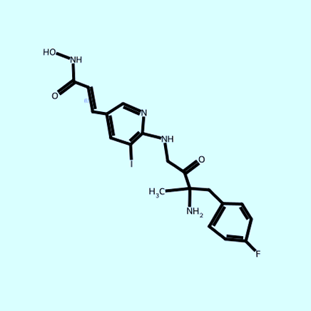 CC(N)(Cc1ccc(F)cc1)C(=O)CNc1ncc(/C=C/C(=O)NO)cc1I